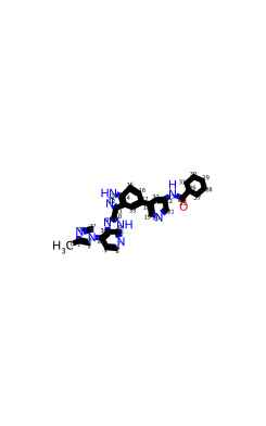 Cc1cn(-c2ccnc3[nH]c(-c4n[nH]c5ccc(-c6cncc(NC(=O)C7CCCCC7)c6)cc45)nc23)cn1